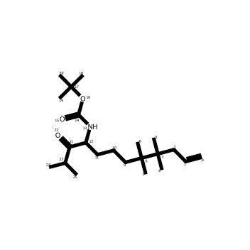 C=CCC(C)(C)C(C)(C)CCCC(NC(=O)OC(C)(C)C)C(=O)C(C)C